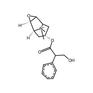 C[N+]1(C)C2C[C@H](OC(=O)C(CO)c3ccccc3)C[C@H]1[C@H]1OC21